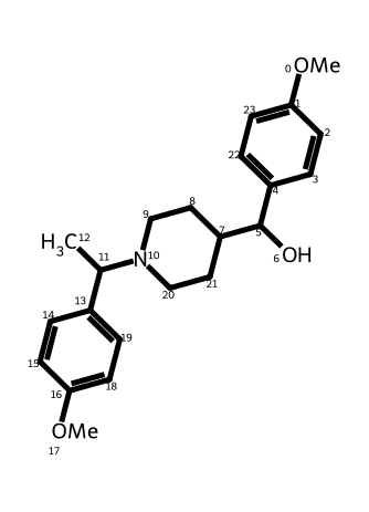 COc1ccc(C(O)C2CCN(C(C)c3ccc(OC)cc3)CC2)cc1